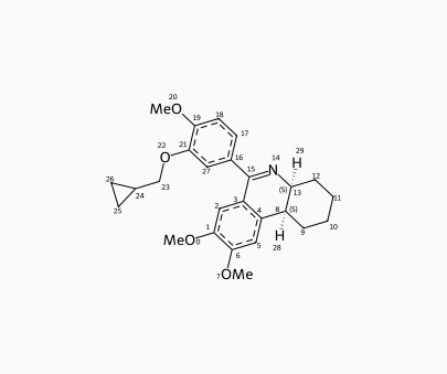 COc1cc2c(cc1OC)[C@@H]1CCCC[C@@H]1N=C2c1ccc(OC)c(OCC2CC2)c1